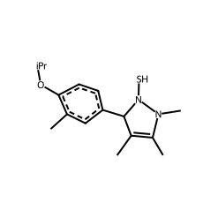 CC1=C(C)N(C)N(S)C1c1ccc(OC(C)C)c(C)c1